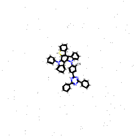 N#Cc1cc(-c2nc(-c3ccccc3)nc(-c3ccccc3)n2)ccc1-n1c2ccccc2c2c3c4ccccc4sc3c3c(c4ccccc4n3-c3ccccc3)c21